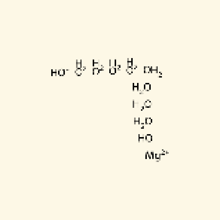 O.O.O.O.O.O.O.O.[Mg+2].[OH-].[OH-]